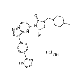 CC(C)[C@H]1CN(CC2CCN(C)CC2)C(=O)N1c1ccn2ncc(-c3ccc(-c4ncc[nH]4)cc3)c2n1.Cl.Cl